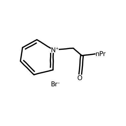 CCCC(=O)C[n+]1ccccc1.[Br-]